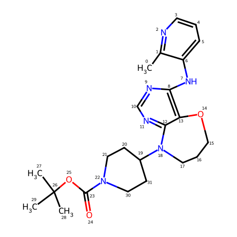 Cc1ncccc1Nc1ncnc2c1OCCCN2C1CCN(C(=O)OC(C)(C)C)CC1